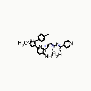 CC(=C\C=C\n1nc(-c2cn(C)nc2-c2ccc(F)cc2)ccc1=N)/N=C(\S)c1ccncc1